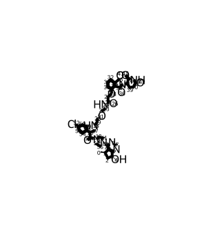 C[C@@H]1C[C@@H](O)c2ncnc(N3CCN(C(=O)C(CNCCOCCNC(=O)COc4cccc5c4C(=O)N(C4CCC(=O)NC4=O)C5=O)c4ccc(Cl)cc4)CC3)c21